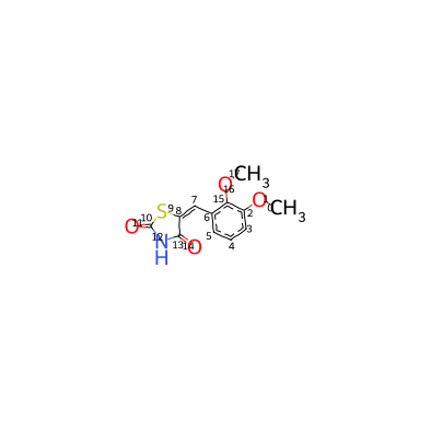 COc1cccc(C=C2SC(=O)NC2=O)c1OC